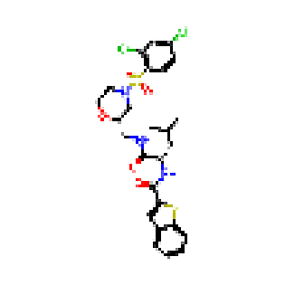 CC(C)C[C@H](NC(=O)c1cc2ccccc2s1)C(=O)NC[C@H]1CN(S(=O)(=O)c2ccc(Cl)cc2Cl)CCO1